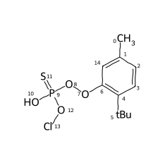 Cc1ccc(C(C)(C)C)c(OOP(O)(=S)OCl)c1